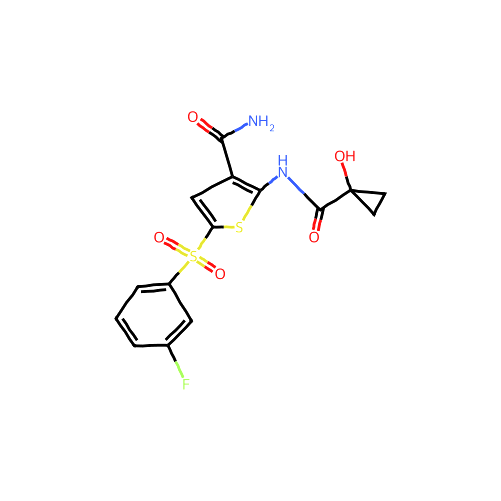 NC(=O)c1cc(S(=O)(=O)c2cccc(F)c2)sc1NC(=O)C1(O)CC1